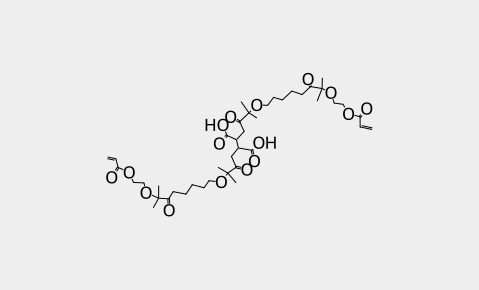 C=CC(=O)OCCOC(C)(C)C(=O)CCCCCOC(C)(C)C(=O)CC(C(=O)O)C(CC(=O)C(C)(C)OCCCCCC(=O)C(C)(C)OCCOC(=O)C=C)C(=O)O